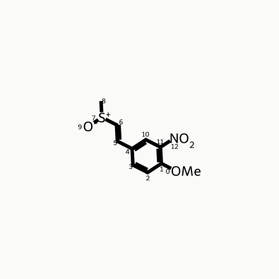 COc1ccc(C=C[S+](C)[O-])cc1[N+](=O)[O-]